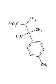 CCOC(=O)C(C)[Si](C)(C)c1ccc(C)cc1